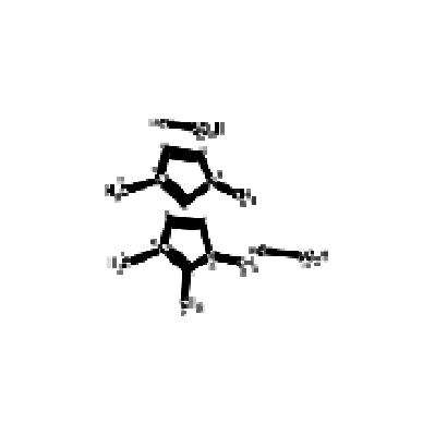 Cc1n(C)cc[n+]1C.Cn1cc[n+](C)c1.O=S(=O)([O-])O.O=S(=O)([O-])O